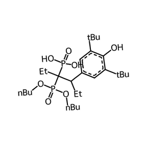 CCCCOP(=O)(OCCCC)C(CC)(C(CC)c1cc(C(C)(C)C)c(O)c(C(C)(C)C)c1)P(=O)(O)O